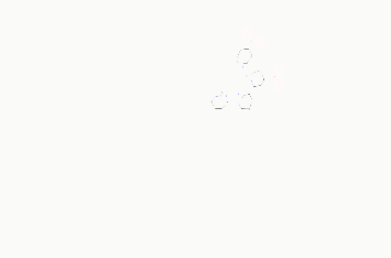 CCCCCCCCCCCCCCCCCCCc1ccnc(-c2cc(CCCCCCCCCCCCCCCC)cc(-c3cc(C(=O)OCC)cc(-c4cc(C(=O)OCC)ccn4)n3)n2)c1